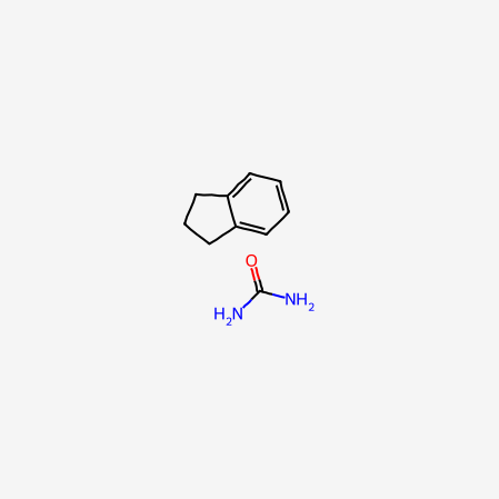 NC(N)=O.c1ccc2c(c1)CCC2